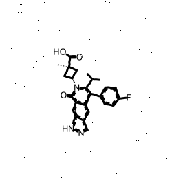 CC(C)c1c(-c2ccc(F)cc2)c2cc3cn[nH]c3cc2c(=O)n1[C@H]1C[C@](C)(C(=O)O)C1